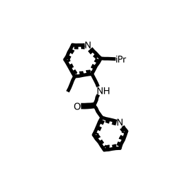 Cc1ccnc(C(C)C)c1NC(=O)c1ccccn1